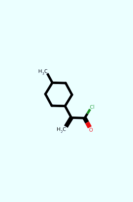 C=C(C(=O)Cl)C1CCC(C)CC1